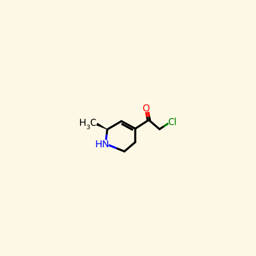 C[C@H]1C=C(C(=O)CCl)CCN1